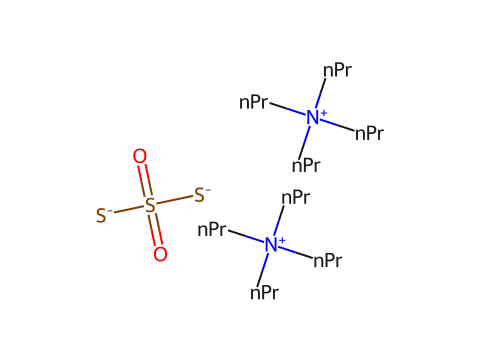 CCC[N+](CCC)(CCC)CCC.CCC[N+](CCC)(CCC)CCC.O=S(=O)([S-])[S-]